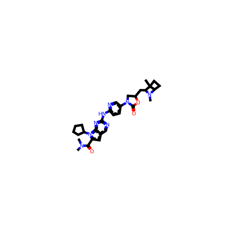 CN(C)C(=O)c1cc2cnc(Nc3ccc(N4CC(CC5N(C)C6CCC65C)OC4=O)cn3)nc2n1C1CCCC1